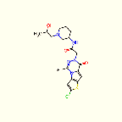 CC(O)CN1CCC[C@@H](NC(=O)Cn2nc(C(C)C)n3c(cc4sc(Cl)cc43)c2=O)C1